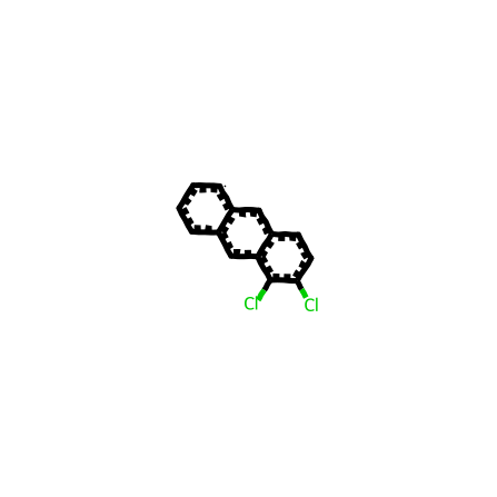 Clc1ccc2cc3[c]cccc3cc2c1Cl